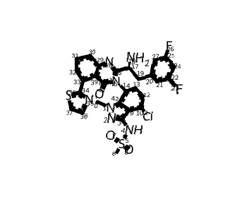 Cn1nc(NS(C)(=O)=O)c2c(Cl)ccc(-n3c([C@@H](N)Cc4cc(F)cc(F)c4)nc4cccc(-c5nccs5)c4c3=O)c21